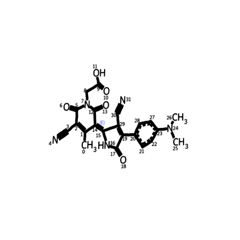 CC1=C(C#N)C(=O)N(CC(=O)O)C(=O)/C1=C1/NC(=O)C(c2ccc(N(C)C)cc2)=C1C#N